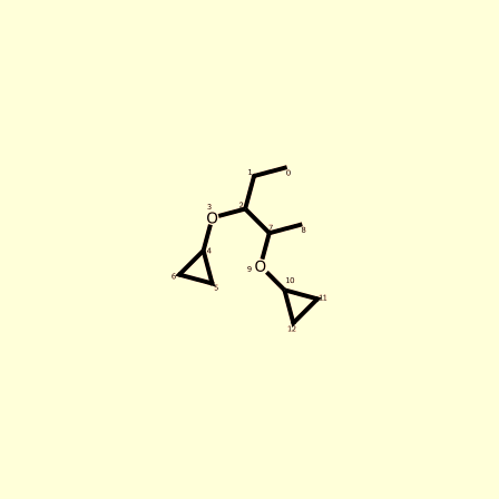 CCC(OC1CC1)C(C)OC1CC1